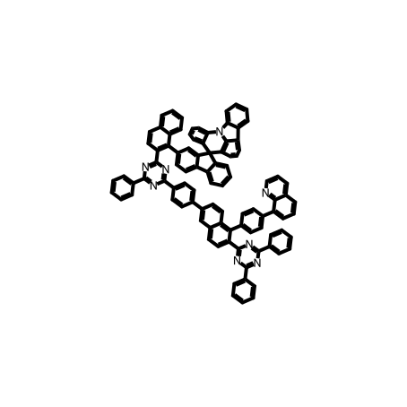 c1ccc(-c2nc(-c3ccc(-c4ccc5c(-c6ccc(-c7cccc8cccnc78)cc6)c(-c6nc(-c7ccccc7)nc(-c7ccccc7)n6)ccc5c4)cc3)nc(-c3ccc4ccccc4c3-c3ccc4c(c3)C3(c5ccccc5-4)c4ccccc4-n4c5ccccc5c5cccc3c54)n2)cc1